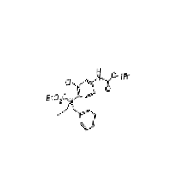 CCOC(=O)[C@@]1(c2ccc(NC(=O)OC(C)C)cc2Cl)C(C)C1c1ccccc1